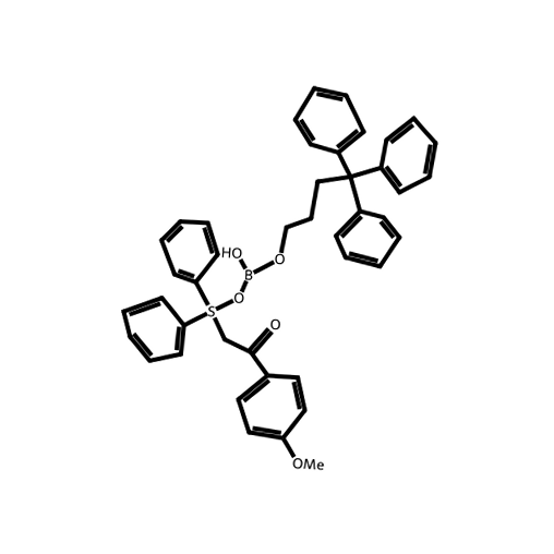 COc1ccc(C(=O)CS(OB(O)OCCCC(c2ccccc2)(c2ccccc2)c2ccccc2)(c2ccccc2)c2ccccc2)cc1